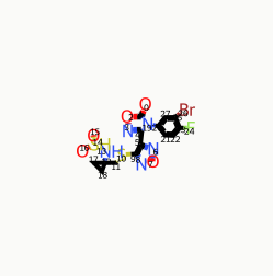 O=c1onc(-c2nonc2SCC2(N[SH](=O)=O)CC2)n1-c1ccc(F)c(Br)c1